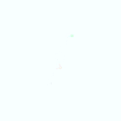 CCCCOc1ccc2cc(CBr)ccc2c1